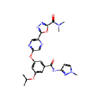 CC(C)Oc1cc(Oc2cnc(-c3nnc(C(=O)N(C)C)o3)cn2)cc(C(=O)Nc2ccn(C)n2)c1